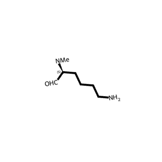 CN[C@H](C=O)CCCCN